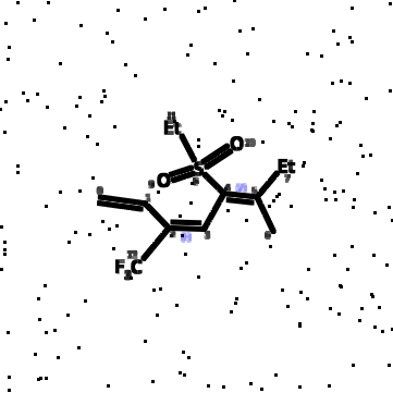 C=C/C(=C\C(=C(/C)CC)S(=O)(=O)CC)C(F)(F)F